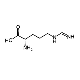 N=CNCCC[C@H](N)C(=O)O